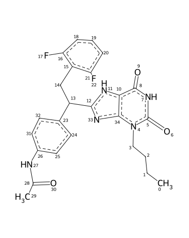 CCCCn1c(=O)[nH]c(=O)c2[nH]c(C(Cc3c(F)cccc3F)c3ccc(NC(C)=O)cc3)nc21